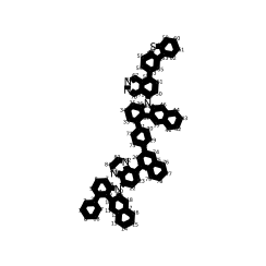 c1ccc(-c2cccc3c2c2cc4ccccc4cc2n3-c2ccc(-c3cc(-c4ccc(-c5cccc6c5c5cc7ccccc7cc5n6-c5ccc(-c6ccc7sc8ccccc8c7c6)c6cnncc56)cc4)cc4ccccc34)c3nccnc23)cc1